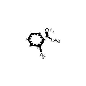 C=CCCCC.CC(=O)c1ccccc1